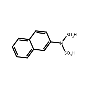 O=S(=O)(O)N(c1ccc2ccccc2c1)S(=O)(=O)O